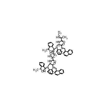 CN[C@@H](C)C(=O)N[C@H]1CN(C(=O)c2ccccc2[C@@H](C)O)c2ccccc2N(Cc2c(C)ccc3ccccc23)C1=O.CN[C@@H](C)C(=O)N[C@H]1CN(C(=O)c2ccccc2[C@H](C)O)c2ccccc2N(Cc2c(C)ccc3ccccc23)C1=O